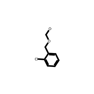 [O]COCc1ccccc1Cl